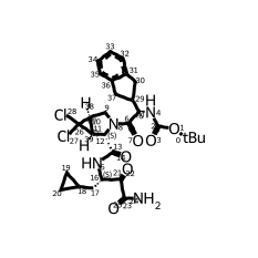 CC(C)(C)OC(=O)N[C@H](C(=O)N1C[C@H]2[C@@H]([C@H]1C(=O)N[C@@H](CC1CC1)C(=O)C(N)=O)C2(Cl)Cl)C1Cc2ccccc2C1